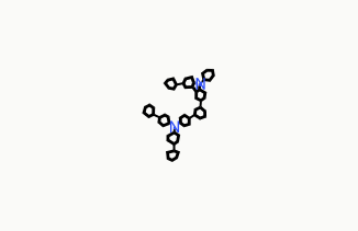 c1ccc(-c2ccc(N(c3ccc(-c4ccccc4)cc3)c3ccc(-c4cccc(-c5ccc6c(c5)c5cc(-c7ccccc7)ccc5n6-c5ccccc5)c4)cc3)cc2)cc1